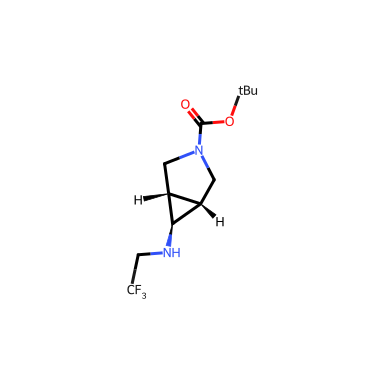 CC(C)(C)OC(=O)N1C[C@@H]2[C@H](C1)[C@H]2NCC(F)(F)F